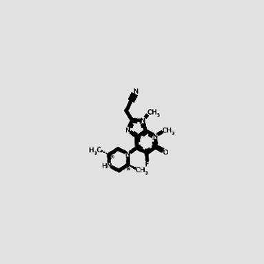 C[C@@H]1CN(c2c(F)c(=O)n(C)c3c2nc(CC#N)n3C)[C@@H](C)CN1